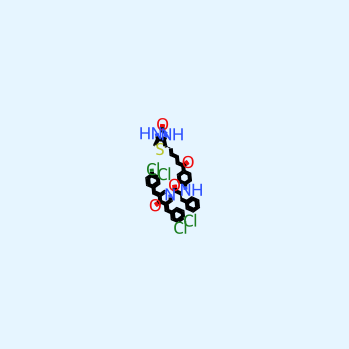 O=C1NC2CS[C@@H](CCCCC(=O)C3CCC(N[C@@H](Cc4ccccc4)C(=O)N4C/C(=C\c5ccc(Cl)c(Cl)c5)C(=O)/C(=C/c5ccc(Cl)c(Cl)c5)C4)CC3)C2N1